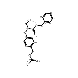 CCN(Oc1ccc(COC(C)=O)cc1)C(=O)OCc1ccccc1